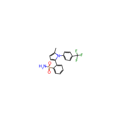 Cc1ccc(-c2ccccc2S(N)(=O)=O)n1-c1ccc(C(F)(F)F)cc1